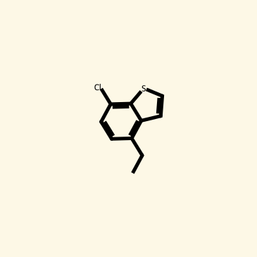 CCc1ccc(Cl)c2sccc12